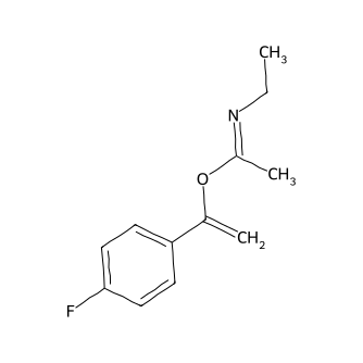 C=C(O/C(C)=N/CC)c1ccc(F)cc1